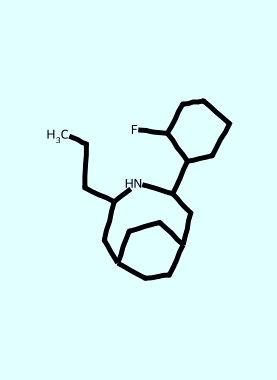 CCCC1CC2CCC(CC2)CC(C2CCCCC2F)N1